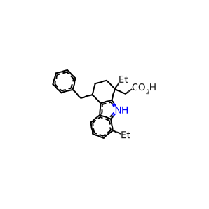 CCc1cccc2c3c([nH]c12)C(CC)(CC(=O)O)CCC3Cc1ccccc1